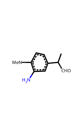 CNc1ccc(C(C)C=O)cc1N